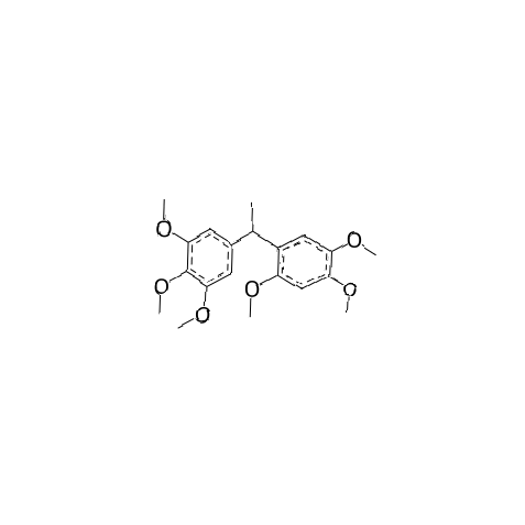 COc1cc(OC)c(C(C)c2cc(OC)c(OC)c(OC)c2)cc1OC